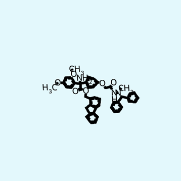 COc1ccc(C(N)(C(=O)OCc2cccc3c2Cc2ccccc2-3)c2ccc(OCC(=O)NN(C)C(c3ccccc3)c3ccccc3)cc2)c(OC)c1